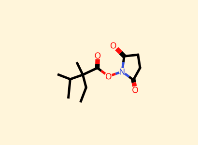 CCC(C)(C(=O)ON1C(=O)CCC1=O)C(C)C